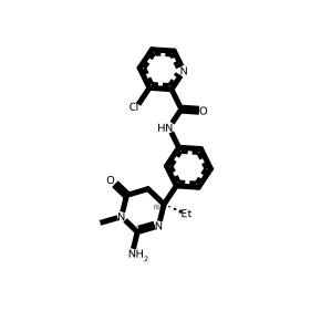 CC[C@@]1(c2cccc(NC(=O)c3ncccc3Cl)c2)CC(=O)N(C)C(N)=N1